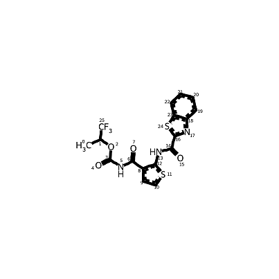 CC(OC(=O)NC(=O)c1ccsc1NC(=O)c1nc2ccccc2s1)C(F)(F)F